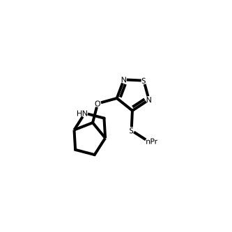 CCCSc1nsnc1OC1C2CCC1NC2